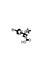 C[Si](C)(C)OC1(c2ncc(Br)cn2)CN(C(=O)O)C1